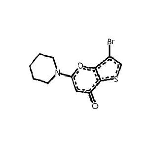 O=c1cc(N2CCCCC2)oc2c(Br)csc12